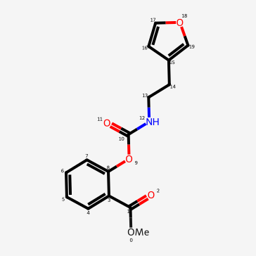 COC(=O)c1ccccc1OC(=O)NCCc1ccoc1